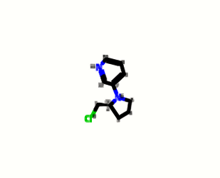 ClC[C@@H]1CCCN1c1cccnc1